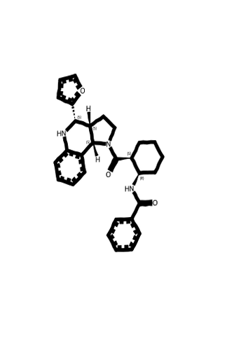 O=C(N[C@@H]1CCCC[C@@H]1C(=O)N1CC[C@H]2[C@@H](c3ccco3)Nc3ccccc3[C@H]21)c1ccccc1